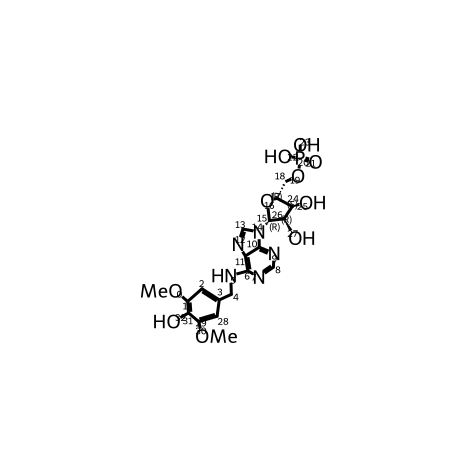 COc1cc(CNc2ncnc3c2ncn3[C@@H]2O[C@H](COP(=O)(O)O)[C@@H](O)[C@H]2O)cc(OC)c1O